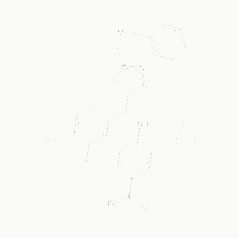 CC(=O)O.COc1ccccc1-n1nc(C(Nc2ccc(C(=N)N)cc2)c2cc(C)c(OC)c(C)c2)[nH]c1=O